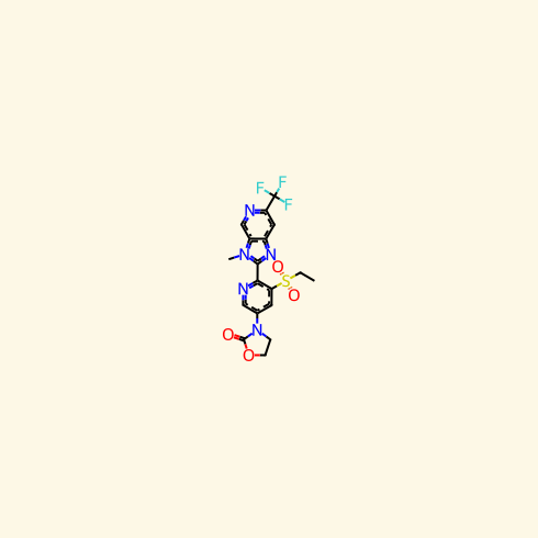 CCS(=O)(=O)c1cc(N2CCOC2=O)cnc1-c1nc2cc(C(F)(F)F)ncc2n1C